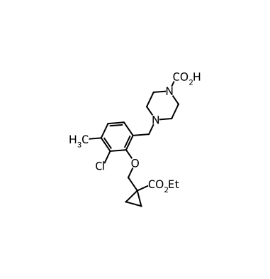 CCOC(=O)C1(COc2c(CN3CCN(C(=O)O)CC3)ccc(C)c2Cl)CC1